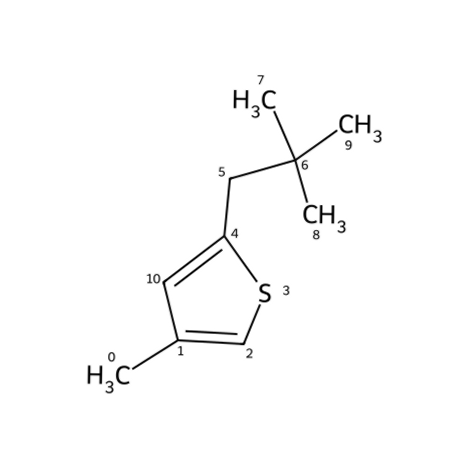 Cc1csc(CC(C)(C)C)c1